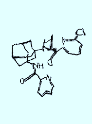 O=C(NC12CC3CC(C1)CC(NC(=O)c1cccc(Cl)n1)(C3)C2)c1ccccn1